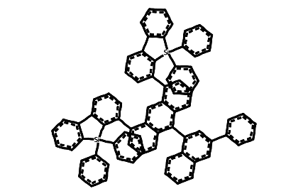 c1ccc(-c2cc(-c3c4cccc(-c5cccc6c5[Si](c5ccccc5)(c5ccccc5)c5ccccc5-6)c4cc4c(-c5cccc6c5[Si](c5ccccc5)(c5ccccc5)c5ccccc5-6)cccc34)c3ccccc3c2)cc1